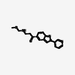 COCNCCC(=O)c1ccc2nn(-c3cccnc3)cc2c1